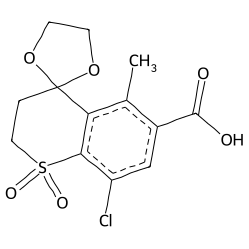 Cc1c(C(=O)O)cc(Cl)c2c1C1(CCS2(=O)=O)OCCO1